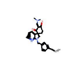 COc1ccc(CN2CC3(CCC(=O)C(=CN(C)C)C3=O)c3cccnc32)cc1